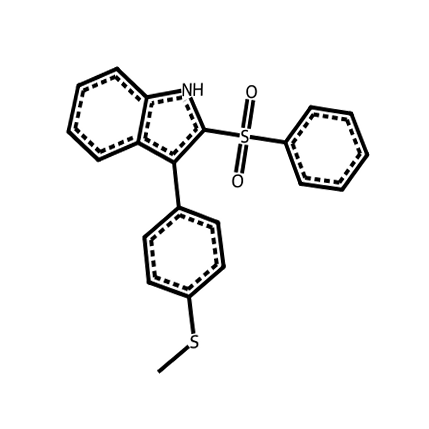 CSc1ccc(-c2c(S(=O)(=O)c3ccccc3)[nH]c3ccccc23)cc1